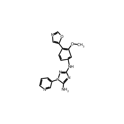 COc1cc(Nc2nc(N)n(-c3cccnc3)n2)ccc1-c1cnco1